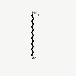 CC(=O)CCCCCCCCCCCCCCCN